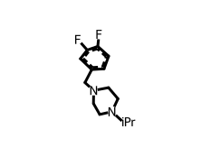 CC(C)N1CCN(Cc2ccc(F)c(F)c2)CC1